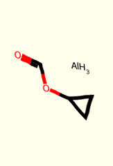 O=COC1CC1.[AlH3]